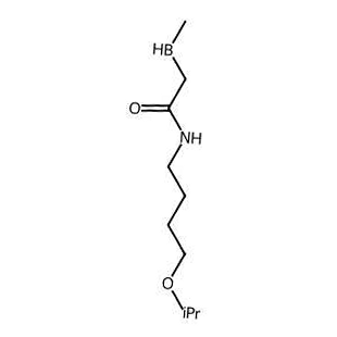 CBCC(=O)NCCCCOC(C)C